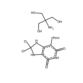 CCCCCn1c2c(c(=O)[nH]c1=O)NC(Cl)(Cl)N2.NC(CO)(CO)CO